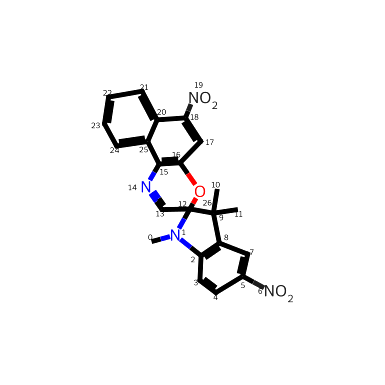 CN1c2ccc([N+](=O)[O-])cc2C(C)(C)C12C=Nc1c(cc([N+](=O)[O-])c3ccccc13)O2